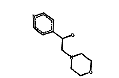 [O]C(CN1CCOCC1)c1ccncc1